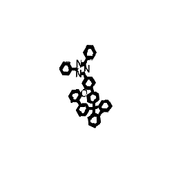 c1ccc(-c2cccc(C3(c4ccc5c(c4)oc4cc(-c6nc(-c7ccccc7)nc(-c7ccccc7)n6)ccc45)c4ccccc4-c4ccccc43)c2)cc1